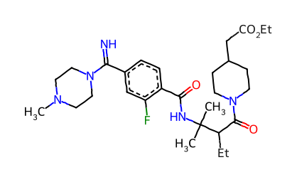 CCOC(=O)CC1CCN(C(=O)C(CC)C(C)(C)NC(=O)c2ccc(C(=N)N3CCN(C)CC3)cc2F)CC1